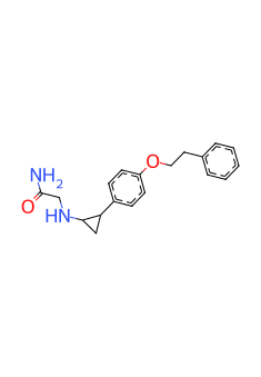 NC(=O)CNC1CC1c1ccc(OCCc2ccccc2)cc1